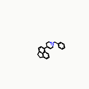 C1=C(c2ccc3c4c(cccc24)CC3)CCN(Cc2ccccc2)C1